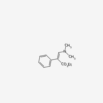 CCOC(=O)/C(=C\N(C)C)c1ccccc1